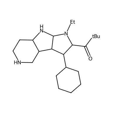 CCN1C2NC3CCNCC3C2C(C2CCCCC2)C1C(=O)C(C)(C)C